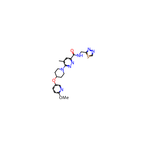 COc1ccc(OC2CCN(c3nnc(C(=O)NCc4nncs4)cc3C)CC2)cn1